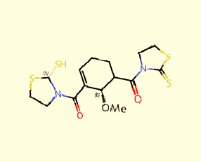 CO[C@H]1C(C(=O)N2CCS[C@@H]2S)=CCCC1C(=O)N1CCSC1=S